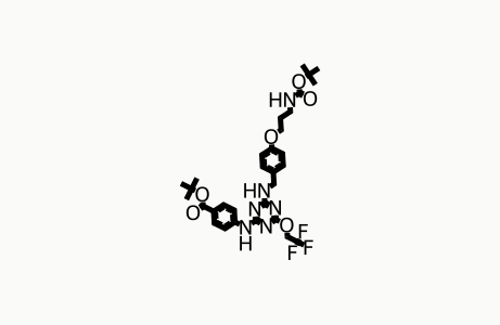 CC(C)(C)OC(=O)NCCCOc1ccc(CNc2nc(Nc3ccc(C(=O)OC(C)(C)C)cc3)nc(OCC(F)(F)F)n2)cc1